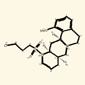 COc1cccc2c1[C@@H]1C[C@H]3[C@H](CCCN3S(=O)(=O)CCCCl)CN1CC2